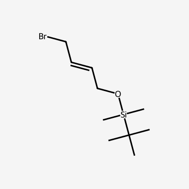 CC(C)(C)[Si](C)(C)OCC=CCBr